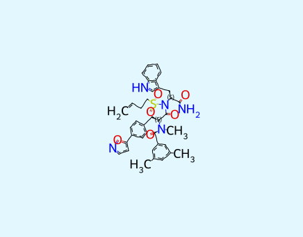 C=CCCS(=O)(=O)N(C(=O)[C@H](Cc1ccc(-c2ccno2)cc1)N(C)C(=O)c1cc(C)cc(C)c1)[C@@H](Cc1c[nH]c2ccccc12)C(N)=O